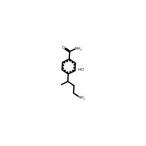 CC(CCN)c1ccc(C(N)=O)cc1.Cl